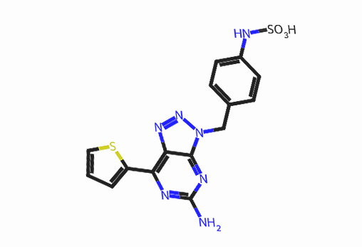 Nc1nc(-c2cccs2)c2nnn(Cc3ccc(NS(=O)(=O)O)cc3)c2n1